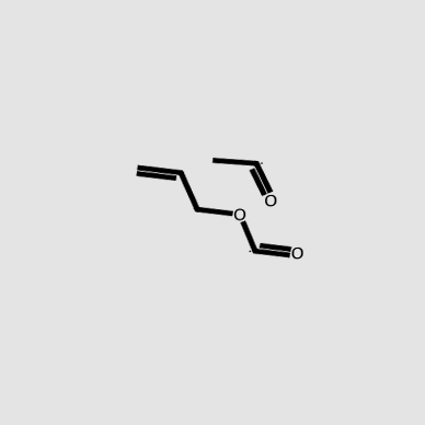 C=CCO[C]=O.C[C]=O